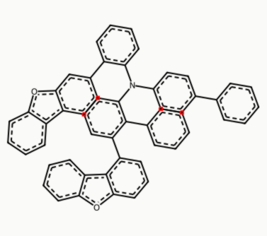 c1ccc(-c2ccc(N(c3ccccc3-c3ccc4c(c3)oc3ccccc34)c3cccc(-c4cccc5oc6ccccc6c45)c3-c3ccccc3)cc2)cc1